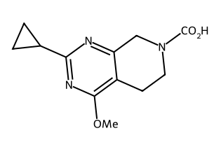 COc1nc(C2CC2)nc2c1CCN(C(=O)O)C2